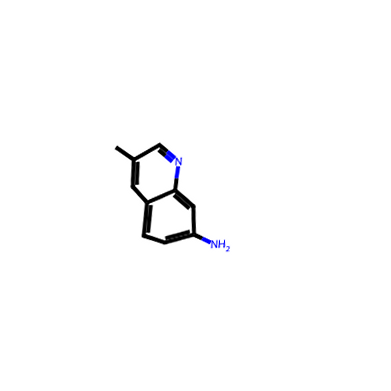 Cc1cnc2cc(N)ccc2c1